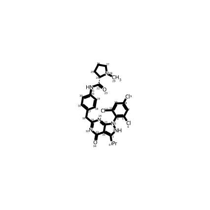 CC(C)c1[nH]n(-c2c(Cl)cc(Cl)cc2Cl)c2nc(Cc3ccc(NC(=O)[C@@H]4CCCN4C)cc3)nc(=O)c1-2